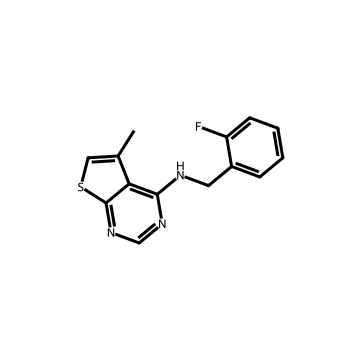 Cc1csc2ncnc(NCc3ccccc3F)c12